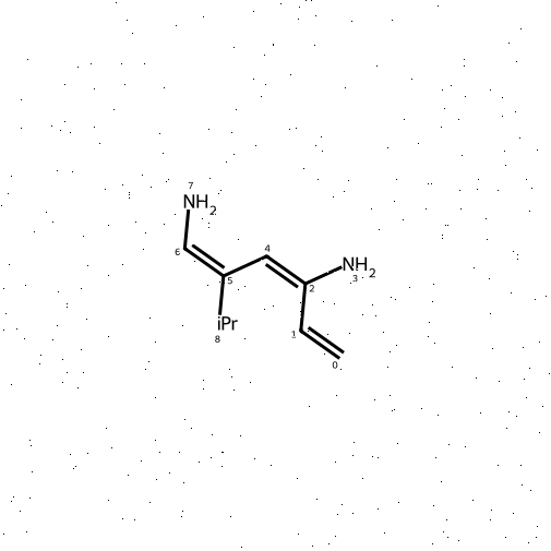 C=C/C(N)=C\C(=C/N)C(C)C